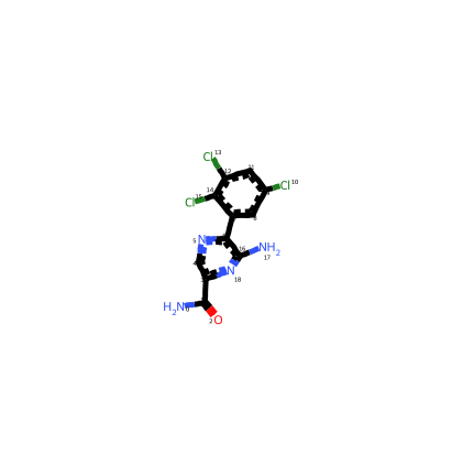 NC(=O)c1cnc(-c2cc(Cl)cc(Cl)c2Cl)c(N)n1